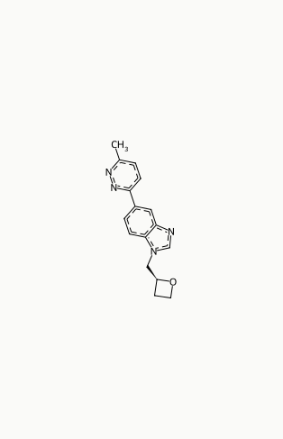 Cc1ccc(-c2ccc3c(c2)ncn3C[C@@H]2CCO2)nn1